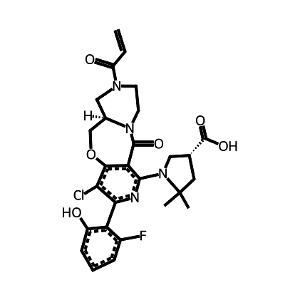 C=CC(=O)N1CCN2C(=O)c3c(N4C[C@H](C(=O)O)CC4(C)C)nc(-c4c(O)cccc4F)c(Cl)c3OC[C@H]2C1